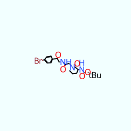 CC(C)(C)OC(=O)N[C@H]1CCCN(CC(=O)NCC(=O)c2ccc(Br)cc2)C1=O